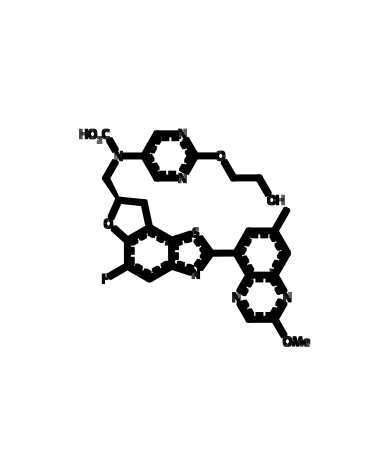 COc1cnc2c(-c3nc4cc(F)c5c(c4s3)C[C@H](CN(C(=O)O)c3cnc(OCCO)nc3)O5)cc(C)cc2n1